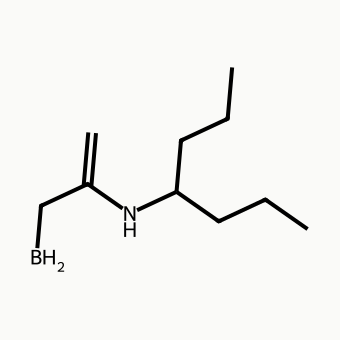 BCC(=C)NC(CCC)CCC